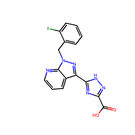 O=C(O)c1n[nH]c(-c2nn(Cc3ccccc3F)c3ncccc23)n1